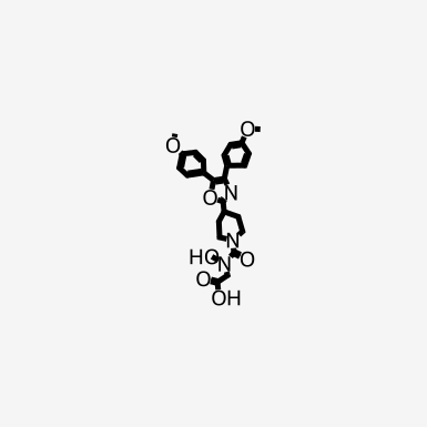 COc1ccc(-c2nc(C3CCN(C(=O)N(O)CC(=O)O)CC3)oc2-c2ccc(OC)cc2)cc1